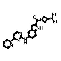 CCN(CC)C1CN(C(=O)c2cc3cc(Nc4nccc(-c5ccccn5)n4)ccc3[nH]2)C1